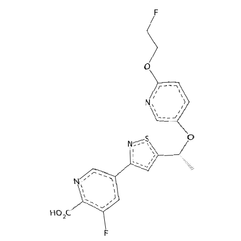 C[C@@H](Oc1ccc(OCCF)nc1)c1cc(-c2cnc(C(=O)O)c(F)c2)ns1